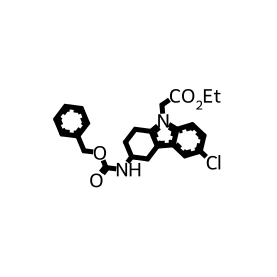 CCOC(=O)Cn1c2c(c3cc(Cl)ccc31)CC(NC(=O)OCc1ccccc1)CC2